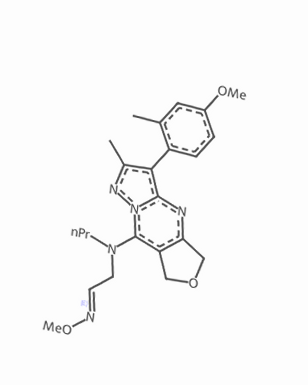 CCCN(C/C=N/OC)c1c2c(nc3c(-c4ccc(OC)cc4C)c(C)nn13)COC2